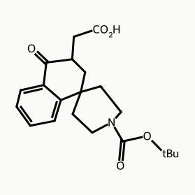 CC(C)(C)OC(=O)N1CCC2(CC1)CC(CC(=O)O)C(=O)c1ccccc12